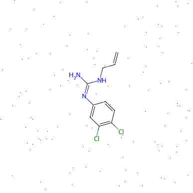 C=CCNC(N)=Nc1ccc(Cl)c(Cl)c1